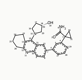 NC(=O)C1(c2cc(-c3ccc4nc5c(c(N6CC[C@H](O)C6)c4c3)CCCC5)ccn2)CC1